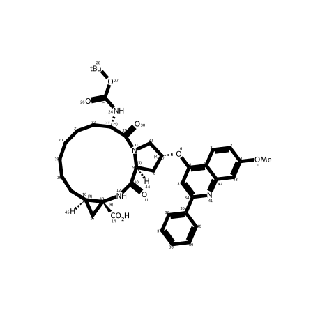 COc1ccc2c(O[C@@H]3C[C@H]4C(=O)N[C@]5(C(=O)O)C[C@H]5CCCCCC[C@H](NC(=O)OC(C)(C)C)C(=O)N4C3)cc(-c3ccccc3)nc2c1